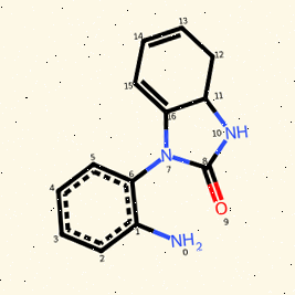 Nc1ccccc1N1C(=O)NC2CC=CC=C21